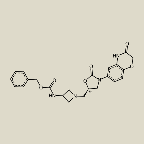 O=C1COc2ccc(N3C[C@@H](CN4CC(NC(=O)OCc5ccccc5)C4)OC3=O)cc2N1